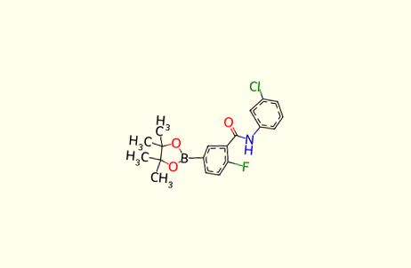 CC1(C)OB(c2ccc(F)c(C(=O)Nc3cccc(Cl)c3)c2)OC1(C)C